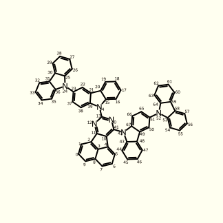 c1cc2c3c(cccc3c1)-c1c-2nc(-n2c3ccccc3c3cc(-n4c5ccccc5c5ccccc54)ccc32)nc1-n1c2ccccc2c2cc(-n3c4ccccc4c4ccccc43)ccc21